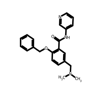 CN(C)Cc1ccc(OCc2ccccc2)c(C(=O)Nc2cccnc2)c1